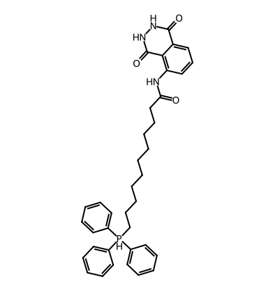 O=C(CCCCCCCCCC[PH](c1ccccc1)(c1ccccc1)c1ccccc1)Nc1cccc2c(=O)[nH][nH]c(=O)c12